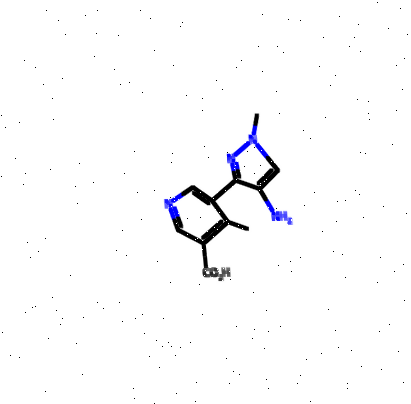 Cc1c(C(=O)O)cncc1-c1nn(C)cc1N